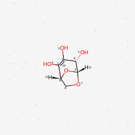 OC1=C(O)[C@H](O)[C@@H]2OC[C@H]1O2